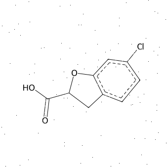 O=C(O)C1Cc2ccc(Cl)cc2O1